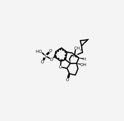 C[N+]1(CC2CC2)CC[C@]23c4c5ccc(OS(=O)(=O)O)c4OC2C(=O)CC[C@@]3(O)[C@H]1C5